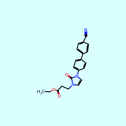 CCOC(=O)CCn1ccn(-c2ccc(-c3ccc(C#N)cc3)cc2)c1=O